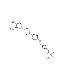 CS(=O)(=O)OCC1CC(COc2ccc(C3CCN(c4ccc(C#N)c(C(F)(F)F)c4)CC3)cc2)C1